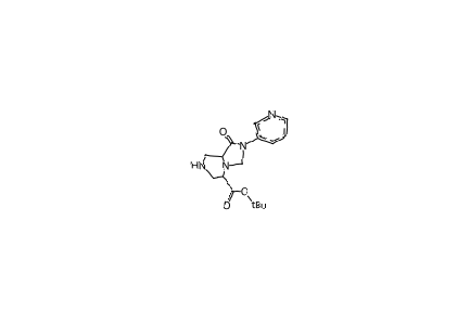 CC(C)(C)OC(=O)C1CNCC2C(=O)N(c3cccnc3)CN12